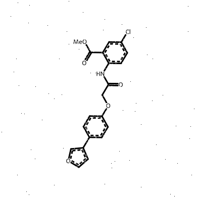 COC(=O)c1cc(Cl)ccc1NC(=O)COc1ccc(-c2ccoc2)cc1